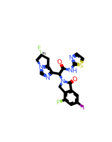 O=C(Nc1nccs1)C(c1ncn2c1C[C@@H](F)C2)N1Cc2c(F)cc(I)cc2C1=O